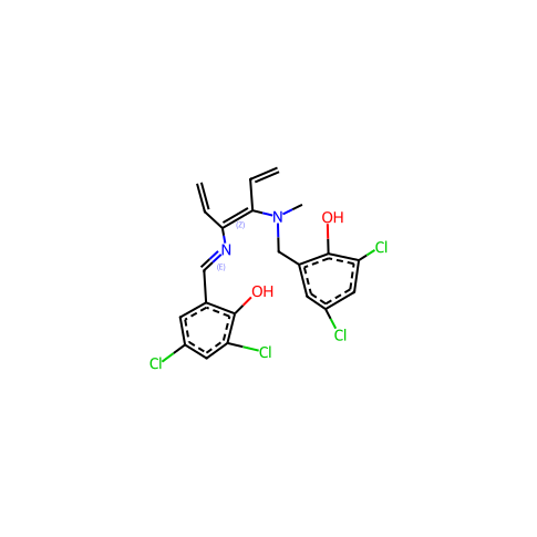 C=CC(/N=C/c1cc(Cl)cc(Cl)c1O)=C(\C=C)N(C)Cc1cc(Cl)cc(Cl)c1O